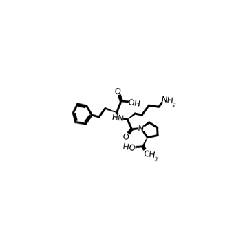 C=C(O)[C@@H]1CCCN1C(=O)[C@H](CCCCN)N[C@@H](CCc1ccccc1)C(=O)O